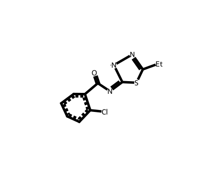 CCC1=N[N]C(=NC(=O)c2ccccc2Cl)S1